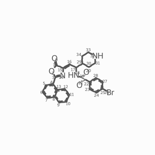 O=C1OC(c2cccc3ccccc23)=NC1=CC(NS(=O)(=O)c1ccc(Br)cc1)C1CCNCC1